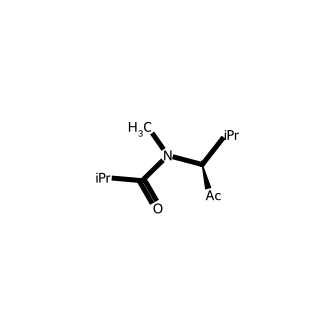 CC(=O)[C@H](C(C)C)N(C)C(=O)C(C)C